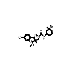 COC(=O)C1(C)CN(C(=O)NC2=CC=CC(C)(Br)C2)N=C1c1ccc(Cl)cc1